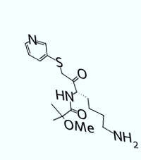 COC(C)(C)C(=O)N[C@@H](CCCCN)C(=O)CSc1cccnc1